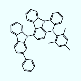 Cc1cc(C)c(B2c3ccccc3-n3c4ccccc4c4c(-n5c6ccccc6c6ccc(-c7ccccc7)cc65)ccc2c43)c(C)c1